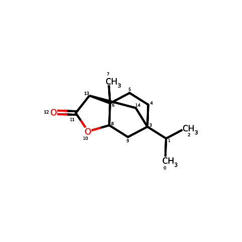 CC(C)C12CCC3(C)C(C1)OC(=O)C3C2